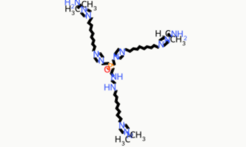 CN(C)N1CCN(CCCCCCCCCCNCCNCCP(=O)(CCN2CCN(CCCCCCCCCCN3CCN(C(C)(C)N)CC3)CC2)CCN2CCN(CCCCCCCCCCN3CCN(C(C)(C)N)CC3)CC2)CC1